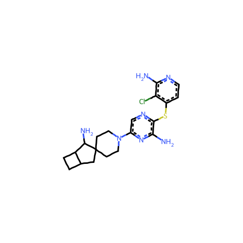 Nc1nc(N2CCC3(CC2)CC2CCC2C3N)cnc1Sc1ccnc(N)c1Cl